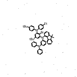 CCc1ccc(N(c2ccc(C(C)(C)C)cc2)c2cc(C(C)(C)C)cc(N(c3cccc(N(c4ccccc4)c4ccccc4)c3)c3cccc4c3-c3ccccc3C4(C)C)c2Br)cc1